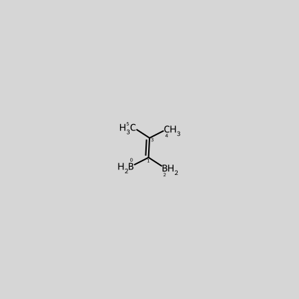 BC(B)=C(C)C